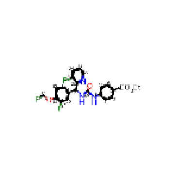 CCOC(=O)c1ccc(NC(=O)N[C@@H](c2ccc(OCF)c(F)c2)c2ncccc2F)cc1